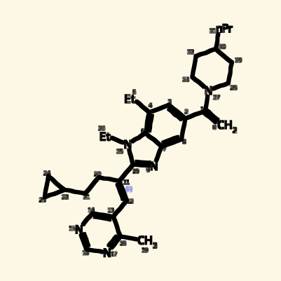 C=C(c1cc(CC)c2c(c1)nc(/C(=C/c1cncnc1C)CCC1CC1)n2CC)N1CCC(CCC)CC1